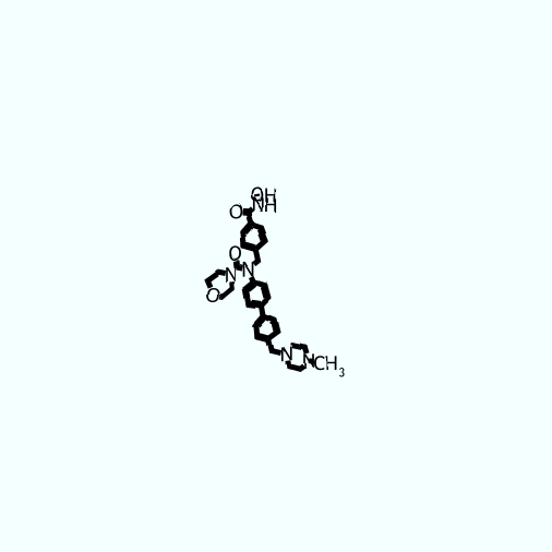 CN1CCN(Cc2ccc(-c3ccc(N(Cc4ccc(C(=O)NO)cc4)C(=O)N4CCOCC4)cc3)cc2)CC1